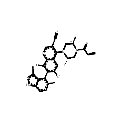 C=CC(=O)N1C[C@H](C)N(c2c(C#N)cnc3c(F)c(-c4c(C)ccc5[nH]nc(C)c45)c(Cl)cc23)C[C@H]1C